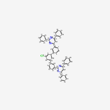 Clc1cc(-c2cccc(-c3cc(-c4ccccc4)nc(-c4ccccc4)n3)c2)cc(-c2cccc(-c3nc(-c4ccccc4)cc(-c4ccccc4)n3)c2)c1